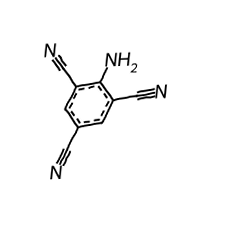 N#Cc1cc(C#N)c(N)c(C#N)c1